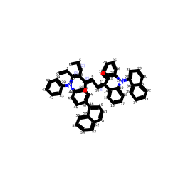 C=C/C(=C(\C=C/C)C(/C)=C/C=C(\C=C)c1ccccc1N(c1ccccc1)c1cccc2ccccc12)N(c1ccccc1)c1ccc(-c2cccc3ccccc23)cc1